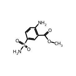 COC(=O)c1cc(S(N)(=O)=O)ccc1N